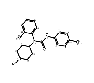 CC(=O)N1CCC(N(C(=O)Nc2cnc(C)cn2)c2ccccc2C(C)C)CC1